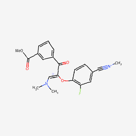 C[N+]#Cc1ccc(O/C(=C\N(C)C)C(=O)c2cccc(C(=O)OC)c2)c(F)c1